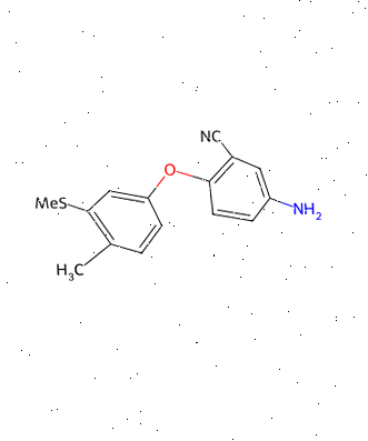 CSc1cc(Oc2ccc(N)cc2C#N)ccc1C